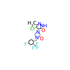 Cc1n[nH]c(=O)c(N2CCN(Cc3ccc(F)cc3C(F)(F)F)C(=O)C2)c1Cl